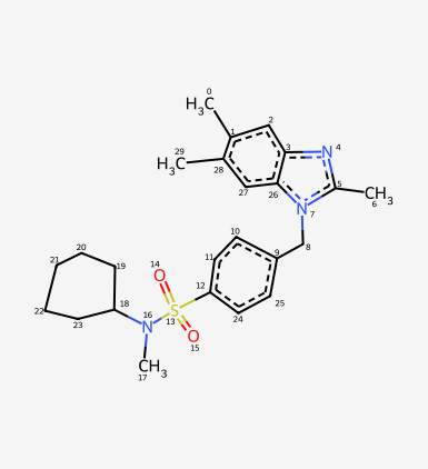 Cc1cc2nc(C)n(Cc3ccc(S(=O)(=O)N(C)C4CCCCC4)cc3)c2cc1C